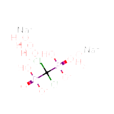 O.O.O.O.O=P([O-])(O)C(Cl)(Cl)P(=O)([O-])O.[Na+].[Na+]